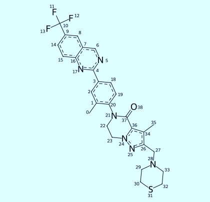 Cc1cc(-c2ncc3cc(C(F)(F)F)ccc3n2)ccc1N1CCn2nc(CN3CCSCC3)c(C)c2C1=O